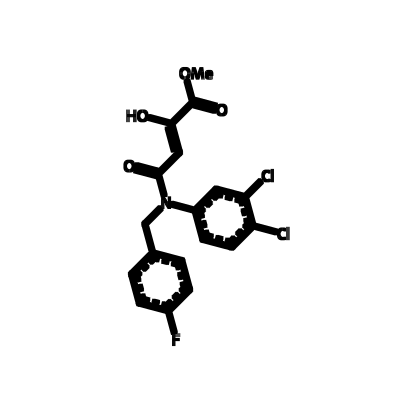 COC(=O)C(O)=CC(=O)N(Cc1ccc(F)cc1)c1ccc(Cl)c(Cl)c1